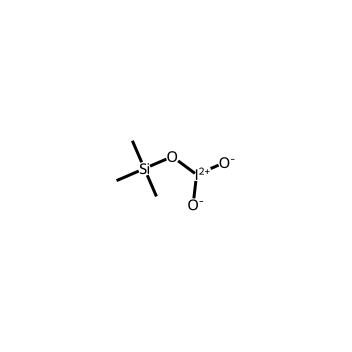 C[Si](C)(C)O[I+2]([O-])[O-]